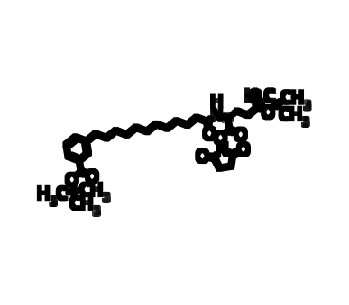 CC(C)(C)OC(=O)CC[C@H](NC(=O)CCCCCCCCCCCc1cccc(C(=O)OC(C)(C)C)c1)C(=O)ON1C(=O)CCC1=O